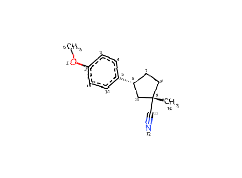 COc1ccc([C@@H]2CC[C@](C)(C#N)C2)cc1